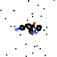 CN(C(=O)c1ccc(-c2ccc(N)cc2)c([N+](=O)[O-])c1N)c1ccccc1